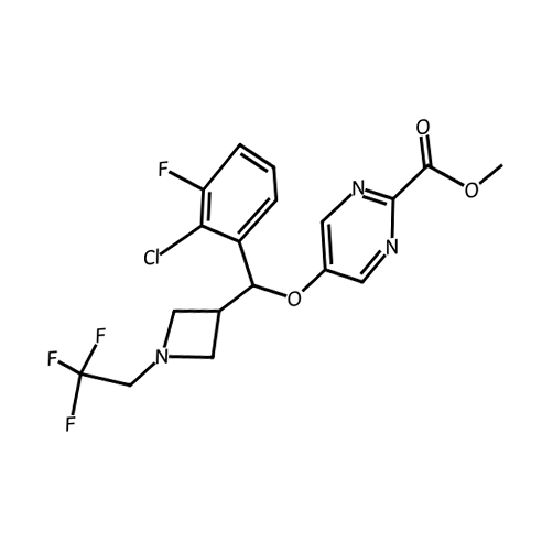 COC(=O)c1ncc(OC(c2cccc(F)c2Cl)C2CN(CC(F)(F)F)C2)cn1